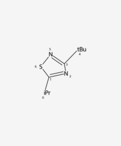 CC(C)c1nc(C(C)(C)C)ns1